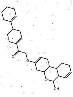 O=C(COC1=CCC2C(C1)OC(O)C1C=CCCC12)C1=CCC(C2=CCCCC2)CC1